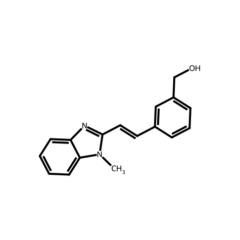 Cn1c(C=Cc2cccc(CO)c2)nc2ccccc21